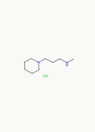 CNCCCN1CCCCC1.Cl